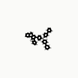 CC1(C)c2ccccc2-c2c1cc(-c1ccc(N(c3ccc(-c4ccccc4)cc3)c3ccc(-c4ccccc4)cc3)cc1)c1c2oc2ccccc21